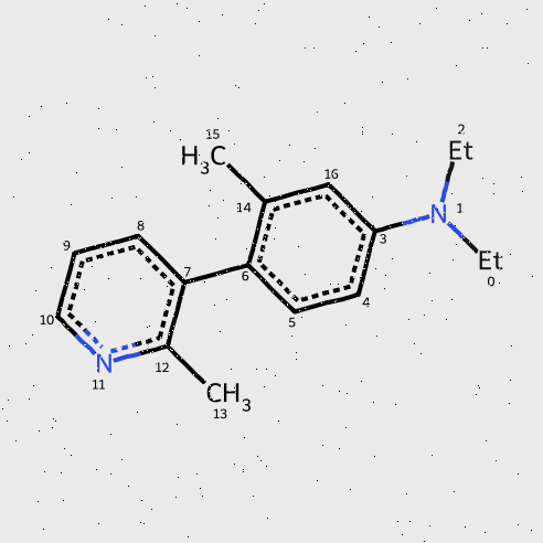 CCN(CC)c1ccc(-c2cccnc2C)c(C)c1